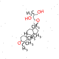 C[C@@H](CO)[C@@H](O)[C@H]1CC([C@@H]2CC[C@]3(C)C4=CCC5C(C)(C)C(=O)CC[C@]5(C)[C@H]4CC[C@@]23C)=CO1